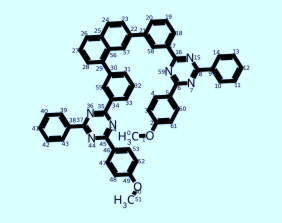 COc1ccc(-c2nc(-c3ccccc3)nc(-c3cccc(-c4ccc5cccc(-c6cccc(-c7nc(-c8ccccc8)nc(-c8ccc(OC)cc8)n7)c6)c5c4)c3)n2)cc1